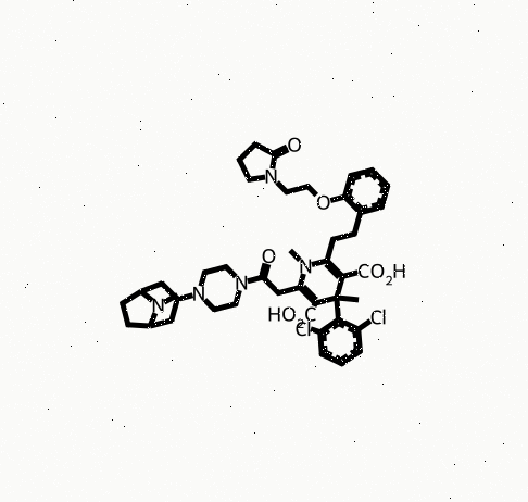 CN1C(CCc2ccccc2OCCN2CCCC2=O)=C(C(=O)O)C(C)(c2c(Cl)cccc2Cl)C(C(=O)O)=C1CC(=O)N1CCN(C2CC3CCC(C2)N3C)CC1